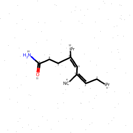 CC(C)C/C=C(C#N)\C=C(/CCC(N)=O)C(C)C